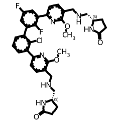 COc1nc(-c2cc(F)cc(-c3cccc(-c4ccc(CNC[C@@H]5CCC(=O)N5)c(OC)n4)c3Cl)c2F)ccc1CNC[C@@H]1CCC(=O)N1